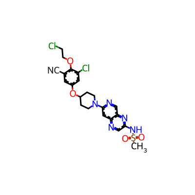 CS(=O)(=O)Nc1cnc2cc(N3CCC(Oc4cc(Cl)c(OCCCl)c(C#N)c4)CC3)ncc2n1